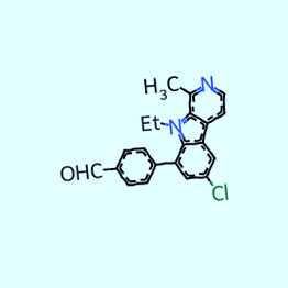 CCn1c2c(-c3ccc(C=O)cc3)cc(Cl)cc2c2ccnc(C)c21